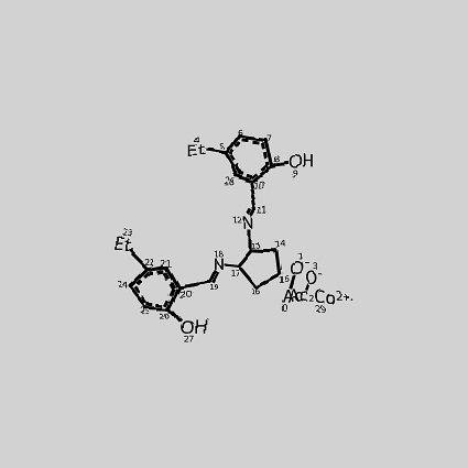 CC(=O)[O-].CC(=O)[O-].CCc1ccc(O)c(C=NC2CCCC2N=Cc2cc(CC)ccc2O)c1.[Co+2]